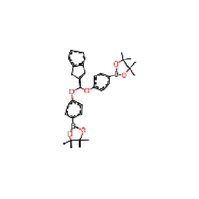 CC1(C)OB(c2ccc(OC(Oc3ccc(B4OC(C)(C)C(C)(C)O4)cc3)C3=Cc4ccccc4C3)cc2)OC1(C)C